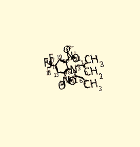 C=C(C)CN(CCC)c1c([N+](=O)[O-])cc(C(F)(F)F)cc1[N+](=O)[O-]